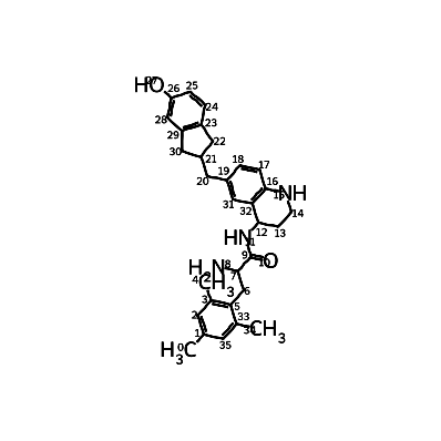 Cc1cc(C)c(CC(N)C(=O)NC2CCNc3ccc(CC4Cc5ccc(O)cc5C4)cc32)c(C)c1